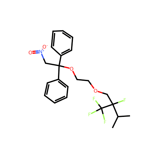 CC(C)C(F)(COCCOC(C[N+](=O)[O-])(c1ccccc1)c1ccccc1)C(F)(F)F